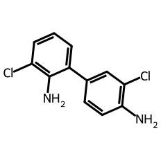 Nc1ccc(-c2cccc(Cl)c2N)cc1Cl